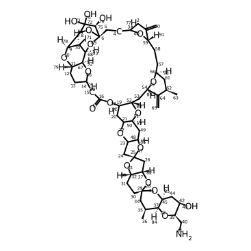 C=C1C[C@@H]2CC[C@]34OC([C@@H]5O[C@H]6CC[C@H](CC(=O)O[C@@H]7CC8OC9C[C@]%10(C[C@@H]%11O[C@@]%12(CC[C@@H]%11O%10)C[C@H](C)[C@@H]%10O[C@H](CN)[C@H](O)C[C@@H]%10O%12)O[C@@H]9C[C@@H]8O[C@H]7C[C@H]7O[C@@H](CC[C@@H]1O2)C[C@@H](C)C7=C)O[C@@H]6[C@H](O3)[C@@H]5I)C(O)(O)[C@H]4O